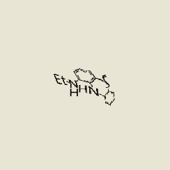 CCNc1cccc2c1Nc1ccccc1S2